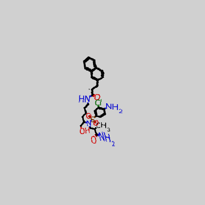 CC(CN(C(CO)CCCCNC(=O)[CH]Cc1ccc2ccccc2c1)S(=O)(=O)c1ccc(N)c(Cl)c1)C(N)=O